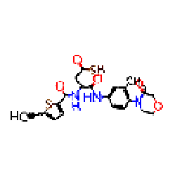 C#Cc1ccc(C(=O)NC(CC(=O)S)C(=O)Nc2ccc(N3CCOCC3=O)c(C)c2)s1